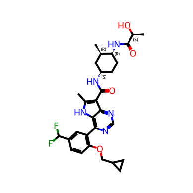 Cc1[nH]c2c(-c3cc(C(F)F)ccc3OCC3CC3)ncnc2c1C(=O)N[C@H]1CC[C@@H](NC(=O)[C@H](C)O)[C@H](C)C1